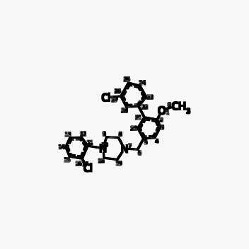 COc1ccc(CN2CCN(c3ccccc3Cl)CC2)cc1-c1cccc(Cl)c1